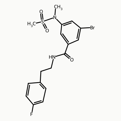 CN(c1cc(Br)cc(C(=O)NCCc2ccc(F)cc2)c1)S(C)(=O)=O